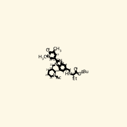 CC[C@H](NCc1ccc2c(c1)nc(-c1cc(C)c(=O)n(C)c1)n2C[C@@H]1CCCN(C(C)=O)C1)C(=O)OC(C)(C)C